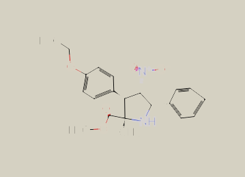 CCOc1ccc([C@H]2[C@H]([N+](=O)[O-])[C@H](c3ccccc3)N[C@]2(C)C(=O)OC)cc1